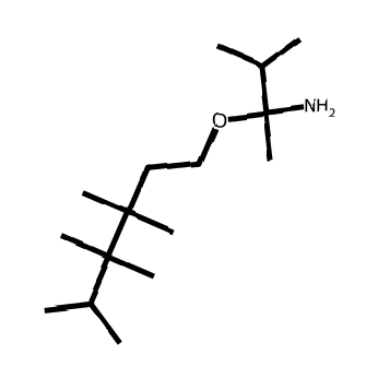 CC(C)C(C)(N)OCCC(C)(C)C(C)(C)C(C)C